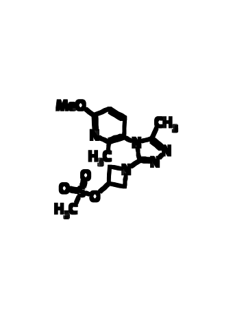 COc1ccc(-n2c(C)nnc2N2CC(OS(C)(=O)=O)C2)c(C)n1